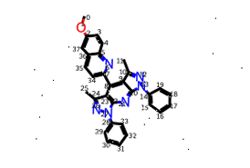 COc1ccc2nc(-c3c4c(C)nn(-c5ccccc5)c4nc4c3c(C)nn4-c3ccccc3)ccc2c1